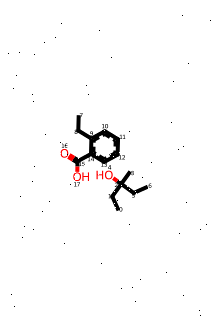 CCC(C)(O)CC.CCc1ccccc1C(=O)O